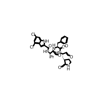 CC(C)[C@H](NC(=O)c1cc2c(Cl)cc(Cl)cc2[nH]1)C(=C=O)N[C@@H](Cc1ccccc1)C(=C=O)N[C@H](C=C=O)C[C@@H]1CCNC1=C=O